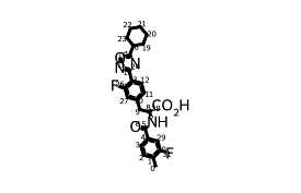 Cc1ccc(C(=O)NC(Cc2ccc(-c3noc(C4CCCCC4)n3)c(F)c2)C(=O)O)cc1F